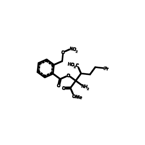 COC(=O)C(N)(OC(=O)c1ccccc1CO[N+](=O)[O-])C(CCC(C)C)C(=O)O